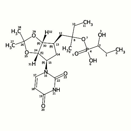 CCC(O)P(=O)(O)OC(C)(CC)C[C@H]1C[C@@H](n2ccc(=O)[nH]c2=O)[C@@H]2OC(C)(C)O[C@H]12